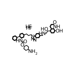 F.F.N[C@H]1CC[C@H](OC(=O)Nc2cc(CCCn3nnc4cc(CNC[C@H](O)c5ccc(O)c6[nH]c(=O)ccc56)ccc43)ccc2-c2ccccc2)CC1